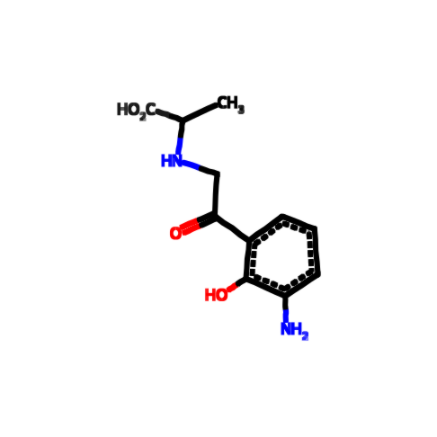 CC(NCC(=O)c1cccc(N)c1O)C(=O)O